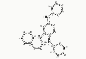 c1ccc(Nc2ccc3c(c2)c2c4ccccc4ccc2n3-c2ccccc2)cc1